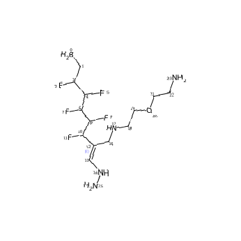 BCC(F)C(F)C(F)C(F)C(F)/C(=C/NN)CNCCOCCN